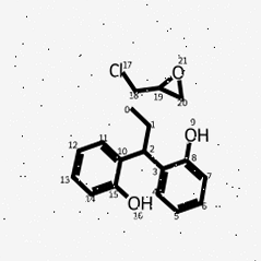 CCC(c1ccccc1O)c1ccccc1O.ClCC1CO1